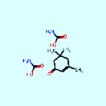 CC1=CC(=O)CC(C)(C)C1.NC(=O)O.NC(=O)O